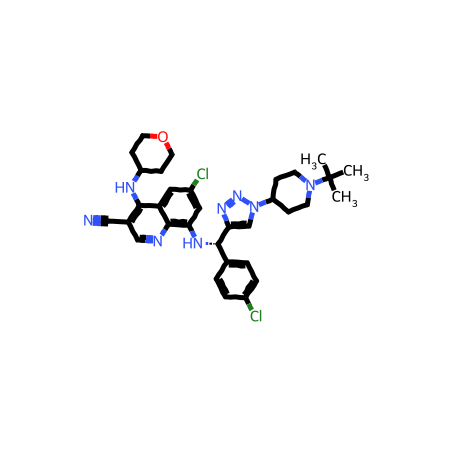 CC(C)(C)N1CCC(n2cc([C@@H](Nc3cc(Cl)cc4c(NC5CCOCC5)c(C#N)cnc34)c3ccc(Cl)cc3)nn2)CC1